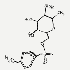 CC(=O)NC1C(C)OC(COS(=O)(=O)c2ccc(C)cc2)C(O)C1OC(C)=O